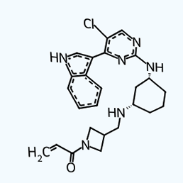 C=CC(=O)N1CC(CN[C@H]2CCC[C@@H](Nc3ncc(Cl)c(-c4c[nH]c5ccccc45)n3)C2)C1